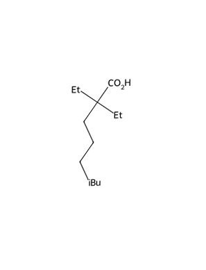 CCC(C)CCCC(CC)(CC)C(=O)O